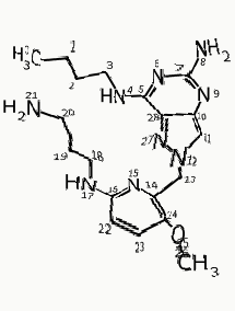 CCCCNc1nc(N)nc2cn(Cc3nc(NCCCN)ccc3OC)nc12